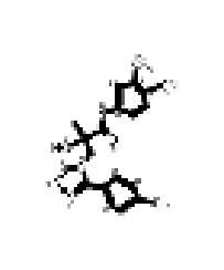 CC(O)(Cn1nnnc1-c1ccc(F)cc1)C(=O)Nc1ccc(C#N)c(C(F)(F)F)c1